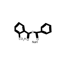 O=C(OC(=O)c1ccccc1C(=O)O)c1ccccc1.[NaH]